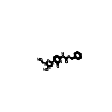 O=C(Nc1ccn([C@H]2C[C@H](O)[C@@H](CO)O2)c(=O)n1)OCc1ccccc1